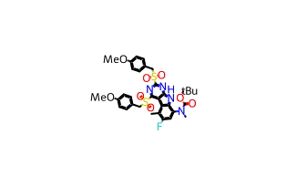 COc1ccc(CS(=O)(=O)c2nc(S(=O)(=O)Cc3ccc(OC)cc3)c3c(n2)[nH]c2c(N(C)C(=O)OC(C)(C)C)cc(F)c(C)c23)cc1